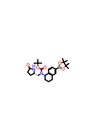 CC(C)(C)OC(=O)N(C[C@@H]1CCC(=O)N1)[C@@H]1CCCc2cc(B3OC(C)(C)C(C)(C)O3)ccc21